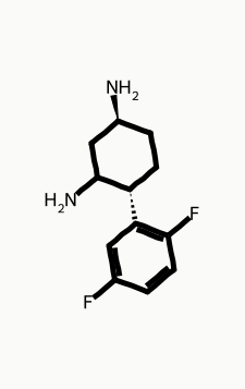 NC1C[C@@H](N)CC[C@@H]1c1cc(F)ccc1F